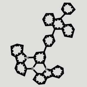 c1ccc(-c2c3ccccc3c(-c3ccc(-c4cc5c6c(c4)-n4c7ccccc7c7cccc(c74)B6c4cccc6c7ccccc7n-5c46)cc3)c3ccccc23)cc1